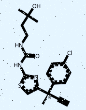 C#C[C@@](C)(c1ccc(Cl)cc1)c1csc(NC(=O)NCCC(C)(C)O)n1